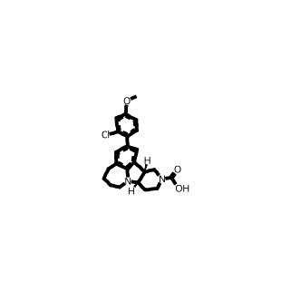 COc1ccc(-c2cc3c4c(c2)[C@@H]2CN(C(=O)O)CC[C@@H]2N4CCCC3)c(Cl)c1